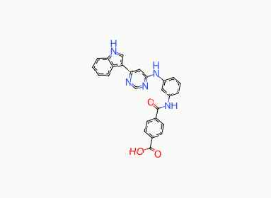 O=C(O)c1ccc(C(=O)Nc2cccc(Nc3cc(-c4c[nH]c5ccccc45)ncn3)c2)cc1